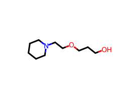 OCCCOCCN1CCCCC1